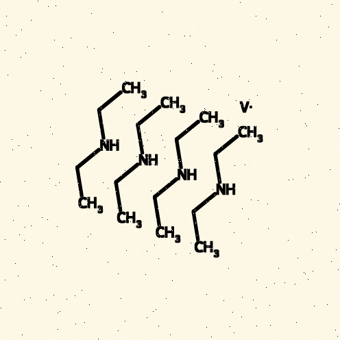 CCNCC.CCNCC.CCNCC.CCNCC.[V]